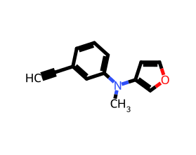 C#Cc1cccc(N(C)c2ccoc2)c1